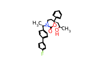 C[C@@H](O)C[C@]1(c2ccccc2)CCN([C@@H](C)c2ccc(-c3ccc(F)cc3)cc2)C(=O)O1